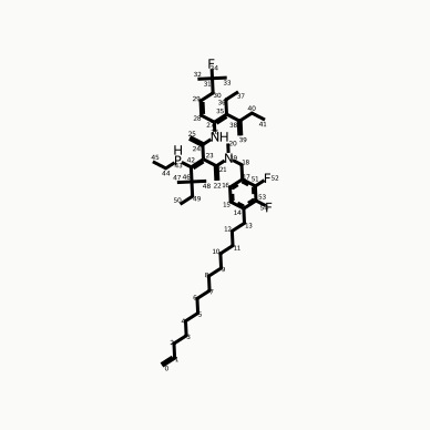 C=CCCCCCCCCCCCCc1ccc(CN(C)C(=C)/C(C(=C)NC(/C=C\CC(C)(C)F)=C(/CC)C(=C)CC)=C(/PCC)C(C)(C)CC)c(F)c1F